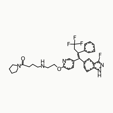 O=C(CCCNCCOc1ccc(C(=C(CC(F)(F)F)c2ccccc2)c2ccc3[nH]nc(F)c3c2)cn1)N1CCCC1